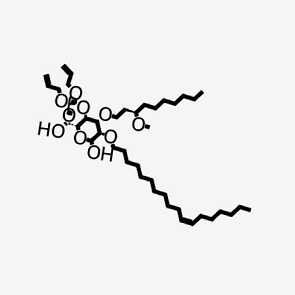 C=CCOP(=O)(OCC=C)O[C@H]1[C@H](OCC[C@@H](CCCCCCC)OC)[C@@H](OCCCCCCCCCC/C=C\CCCCCC)C(O)O[C@@H]1CO